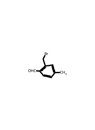 Cc1ccc(C=O)c(CBr)c1